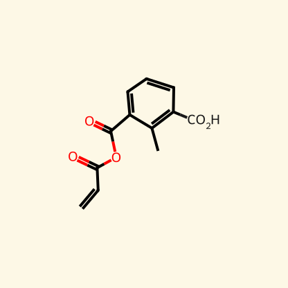 C=CC(=O)OC(=O)c1cccc(C(=O)O)c1C